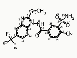 CSc1nc2cc(C(F)(F)F)ccc2n1NC(=O)c1ccc(Cl)c(S(N)(=O)=O)c1